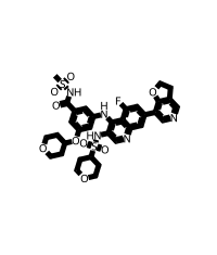 CS(=O)(=O)NC(=O)c1cc(Nc2c(NS(=O)(=O)C3CCOCC3)cnc3cc(-c4cncc5c4OCC5)cc(F)c23)cc(OC2CCOCC2)c1